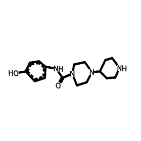 O=C(Nc1ccc(O)cc1)N1CCN(C2CCNCC2)CC1